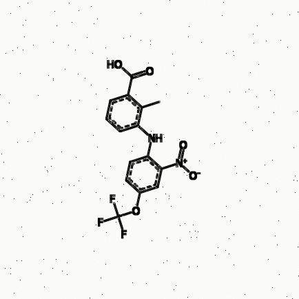 Cc1c(Nc2ccc(OC(F)(F)F)cc2[N+](=O)[O-])cccc1C(=O)O